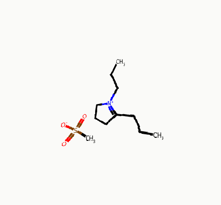 CCCC1=[N+](CCC)CCC1.CS(=O)(=O)[O-]